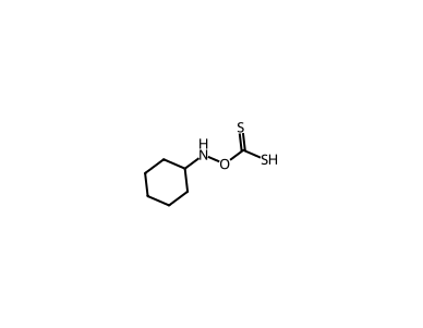 S=C(S)ONC1CCCCC1